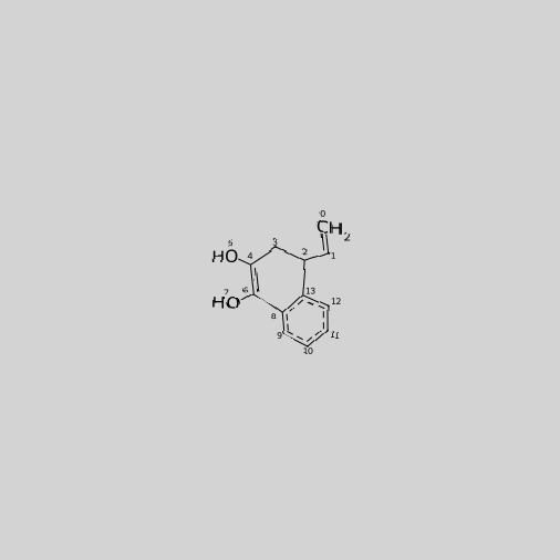 C=CC1CC(O)=C(O)c2ccccc21